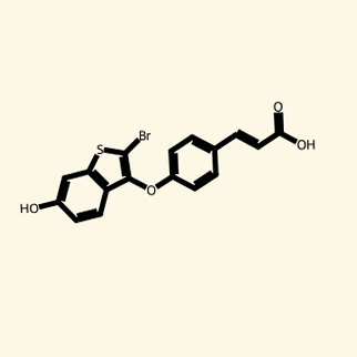 O=C(O)/C=C/c1ccc(Oc2c(Br)sc3cc(O)ccc23)cc1